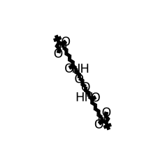 CC(C)(C)C1CC(=O)N(CCCCCC(=O)NCCOCCOCCNC(=O)CCCCCN2C(=O)CC(C(C)(C)C)C2=O)C1=O